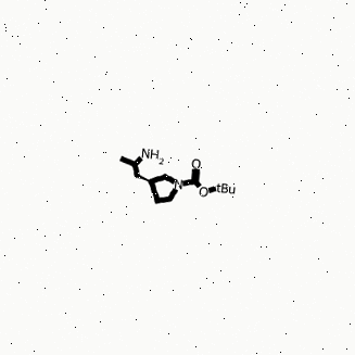 CC(N)C[C@@H]1CCN(C(=O)OC(C)(C)C)C1